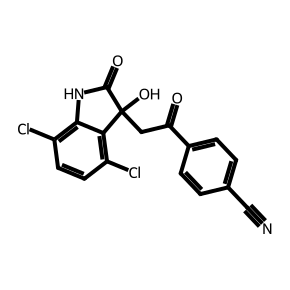 N#Cc1ccc(C(=O)CC2(O)C(=O)Nc3c(Cl)ccc(Cl)c32)cc1